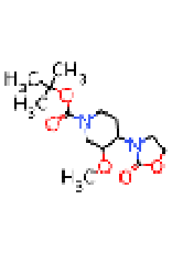 COC1CN(C(=O)OC(C)(C)C)CCC1N1CCOC1=O